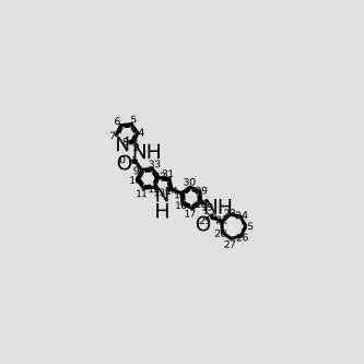 O=C(Nc1ccccn1)c1ccc2[nH]c(-c3ccc(NC(=O)C4CCCCCC4)cc3)cc2c1